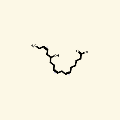 CC/C=C\CC(O)CC/C=C\C/C=C\CCCCC(=O)O